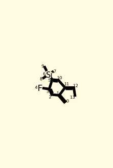 C=c1cc(F)c([Si](C)(C)C)c/c1=C/C